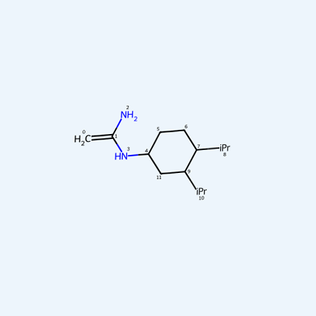 C=C(N)NC1CCC(C(C)C)C(C(C)C)C1